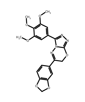 COc1cc(-c2nnc3n2N=C(c2ccc4c(c2)OCO4)CO3)cc(OC)c1OC